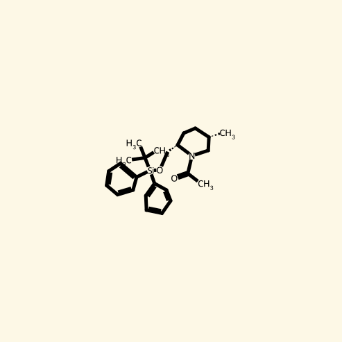 CC(=O)N1C[C@@H](C)CC[C@H]1CO[Si](c1ccccc1)(c1ccccc1)C(C)(C)C